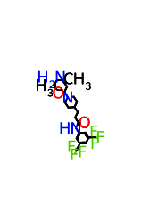 CC(C)(N)CC(=O)N1CCC(CCC(=O)Nc2cc(C(F)(F)F)cc(C(F)(F)F)c2)CC1